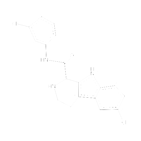 O=C(Nc1cccc(Cl)c1)C1NCCc2c1[nH]c1ccc(Cl)cc21